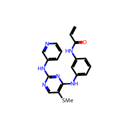 C=CC(=O)Nc1cccc(Nc2nc(Nc3cccnc3)ncc2SC)c1